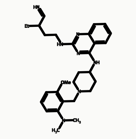 CCC(C=N)CCNc1nc(NC2CCN(Cc3c(OC)cccc3N(C)C)CC2)c2ccccc2n1